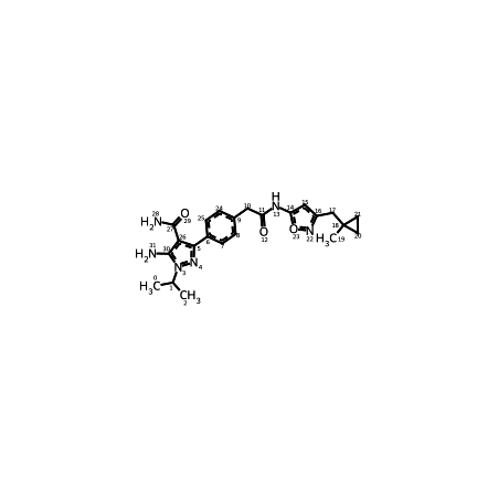 CC(C)n1nc(-c2ccc(CC(=O)Nc3cc(CC4(C)CC4)no3)cc2)c(C(N)=O)c1N